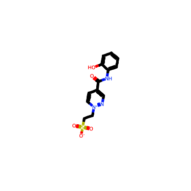 O=C(Nc1ccccc1O)c1cc[n+](CCS(=O)(=O)[O-])nc1